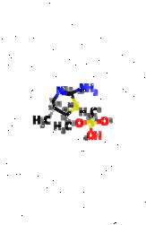 CS(=O)(=O)O.C[C@@H]1CN=C(N)S[C@@H]1C